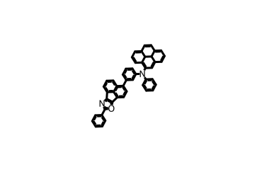 C1=CC2=CC(N(c3ccccc3)c3cccc(-c4ccc5c6c(cccc46)-c4nc(-c6ccccc6)oc4-5)c3)=C3C=CC=C4C=CC(=C1)C2C43